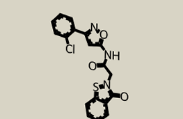 O=C(Cn1sc2ccccc2c1=O)Nc1cc(-c2ccccc2Cl)no1